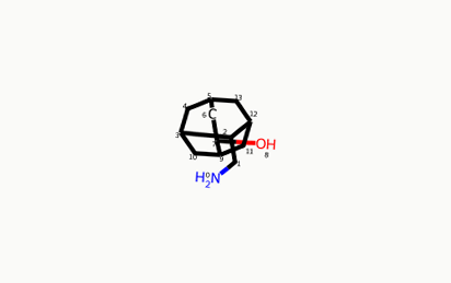 NCC1C2CC3CC(O)C(C2)CC1C3